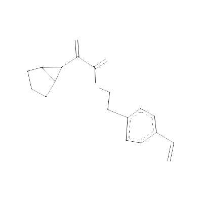 C=Cc1ccc(CCOC(=O)C(=C)C2C3CCCC32)cc1